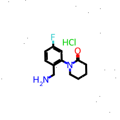 Cl.NCc1ccc(F)cc1N1CCCCC1=O